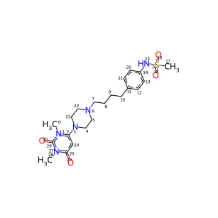 Cn1c(N2CCN(CCCCc3ccc(NS(C)(=O)=O)cc3)CC2)cc(=O)n(C)c1=O